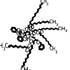 CCCCCCCCCCC[C@H](CC(=O)N[C@H]1[C@H](OCC[C@@H](COCc2ccccc2)C(=O)C[C@@H](CCCCCCCCCCC)OC(=O)CCCCCCCCC)O[C@H](CO)[C@@H](OP(=O)(Oc2ccccc2)Oc2ccccc2)[C@@H]1OC(=O)C[C@@H](CCCCCCCCCCC)C(=O)CCCCCCCCC)OC(=O)CCCCCCCCC